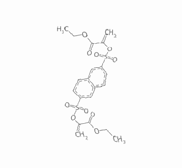 C=C(OS(=O)(=O)c1ccc2cc(S(=O)(=O)OC(=C)C(=O)OCC)ccc2c1)C(=O)OCC